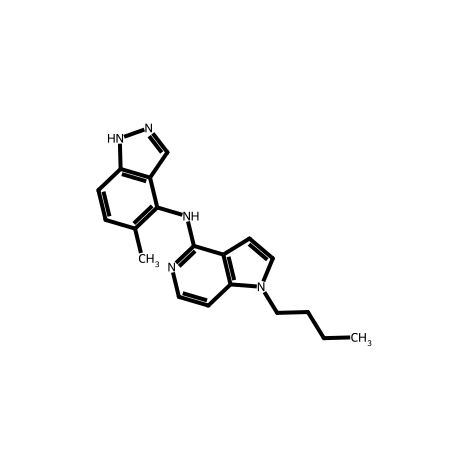 CCCCn1ccc2c(Nc3c(C)ccc4[nH]ncc34)nccc21